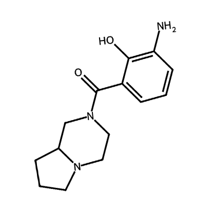 Nc1cccc(C(=O)N2CCN3CCCC3C2)c1O